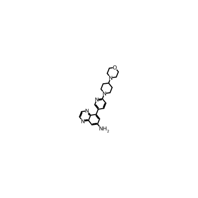 Nc1cc(-c2ccc(N3CCC(N4CCOCC4)CC3)nc2)c2nccnc2c1